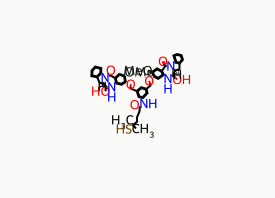 COc1cc2c(cc1OCc1cc(COc3cc4c(cc3OC)C(=O)N3c5ccccc5C[C@H]3C(O)N4)cc(NC(=O)CCCC(C)(C)S)c1)NC(O)[C@@H]1Cc3ccccc3N1C2=O